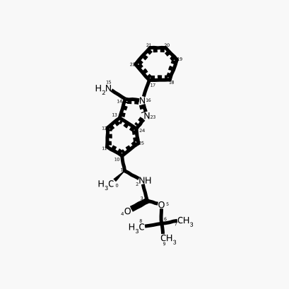 C[C@H](NC(=O)OC(C)(C)C)c1ccc2c(N)n(-c3ccccc3)nc2c1